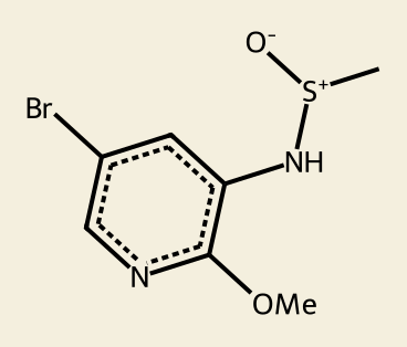 COc1ncc(Br)cc1N[S+](C)[O-]